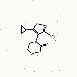 Cc1noc(C2CC2)c1N1CCOCC1=O